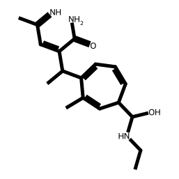 CCNC(O)C1C=CC=C(C(C)/C(=C/C(C)=N)C(N)=O)C(C)=C1